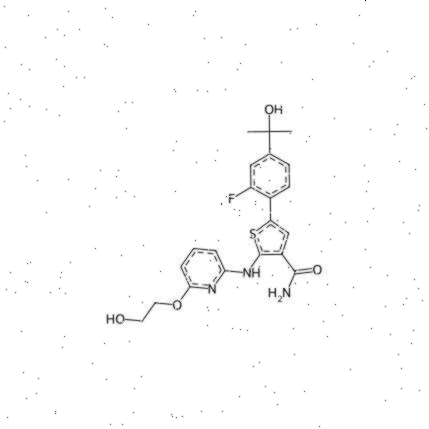 CC(C)(O)c1ccc(-c2cc(C(N)=O)c(Nc3cccc(OCCO)n3)s2)c(F)c1